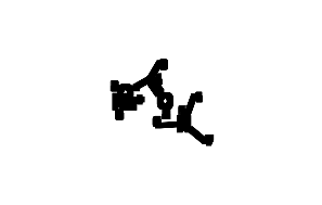 CC(=O)[O-].CN(C)C.[Na+]